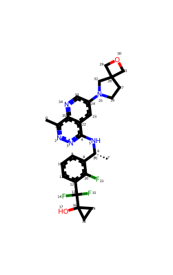 Cc1nnc(N[C@H](C)c2cccc(C(F)(F)C3(O)CC3)c2F)c2cc(N3CCC4(COC4)C3)cnc12